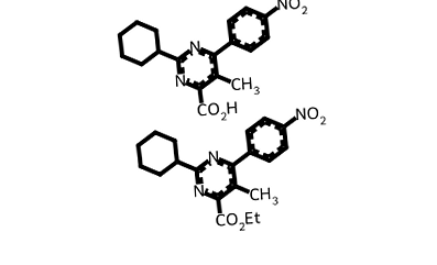 CCOC(=O)c1nc(C2CCCCC2)nc(-c2ccc([N+](=O)[O-])cc2)c1C.Cc1c(C(=O)O)nc(C2CCCCC2)nc1-c1ccc([N+](=O)[O-])cc1